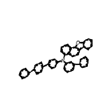 c1ccc(-c2ccc(-c3ccc(N(c4cccc(-c5ccccc5)c4)c4cccc5c4ccc4c6ccccc6oc54)cc3)cc2)cc1